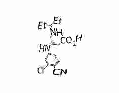 CCC(CC)NC[C@H](CC(=O)O)Nc1ccc(C#N)c(Cl)c1